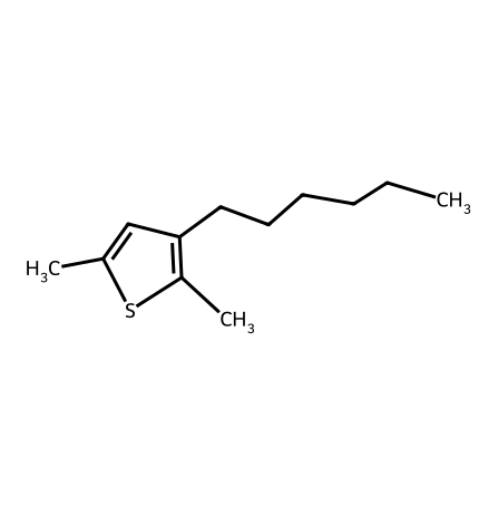 CCCCCCc1cc(C)sc1C